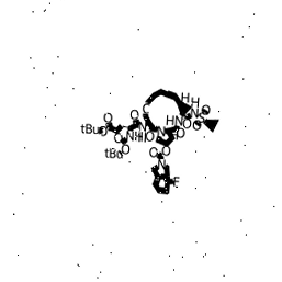 CC(C)(C)OC(=O)CC[C@@H](NC(=O)OC(C)(C)C)C(=O)N[C@H]1CCCCC/C=C\[C@@H]2C[C@@]2(C(=O)NS(=O)(=O)C2CC2)NC(=O)[C@@H]2C[C@@H](OC(=O)N3Cc4cccc(F)c4C3)CN2C1=O